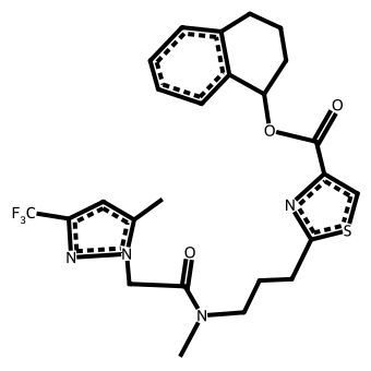 Cc1cc(C(F)(F)F)nn1CC(=O)N(C)CCCc1nc(C(=O)OC2CCCc3ccccc32)cs1